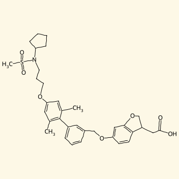 Cc1cc(OCCCN(C2CCCC2)S(C)(=O)=O)cc(C)c1-c1cccc(COc2ccc3c(c2)OCC3CC(=O)O)c1